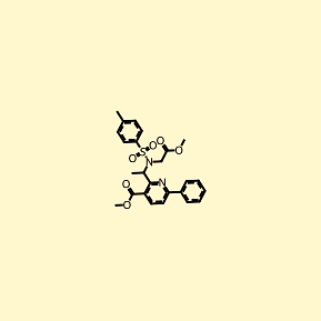 COC(=O)CN(C(C)c1nc(-c2ccccc2)ccc1C(=O)OC)S(=O)(=O)c1ccc(C)cc1